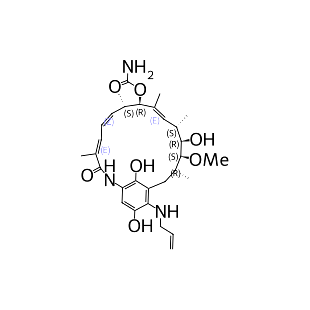 C=CCNc1c(O)cc2c(O)c1C[C@@H](C)[C@H](OC)[C@H](O)[C@@H](C)/C=C(\C)[C@H](OC(N)=O)[C@@H](C)/C=C\C=C(/C)C(=O)N2